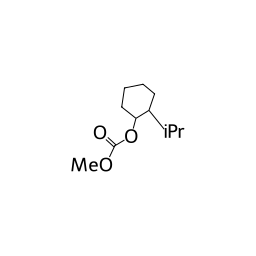 COC(=O)OC1CCCCC1C(C)C